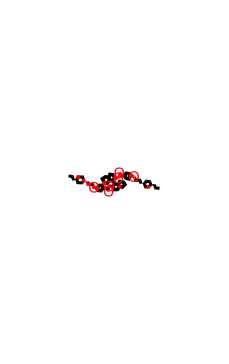 CCC[C@H]1CC[C@H](CCCOc2ccc(C(=O)Oc3ccc4ccccc4c3-c3c(OC(=O)c4ccc(OCCC[C@H]5CC[C@H](CCC)CC5)cc4)ccc4ccccc34)cc2)CC1